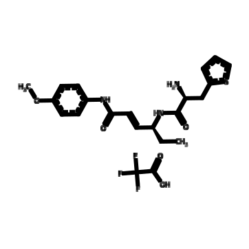 CC[C@@H](/C=C/C(=O)Nc1ccc(OC)cc1)NC(=O)[C@@H](N)Cc1cccs1.O=C(O)C(F)(F)F